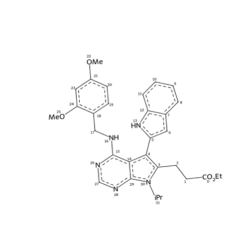 CCOC(=O)CCc1c(-c2cc3ccccc3[nH]2)c2c(NCc3ccc(OC)cc3OC)ncnc2n1C(C)C